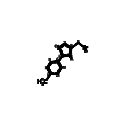 Cc1ccc(-c2ncc(CBr)s2)cc1